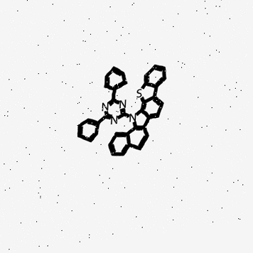 c1ccc(-c2nc(-c3ccccc3)nc(-n3c4c5ccccc5ccc4c4ccc5c6ccccc6sc5c43)n2)cc1